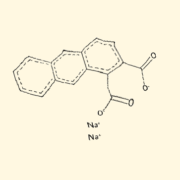 O=C([O-])c1ccc2cc3ccccc3cc2c1C(=O)[O-].[Na+].[Na+]